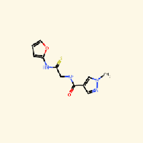 Cn1cc(C(=O)NCC(=S)Nc2ccco2)cn1